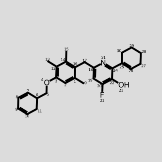 Cc1cc(OCC2C=CC=CC2)c(C)c(C)c1Cc1cc(F)c(O)c(C2=CCCCC2)n1